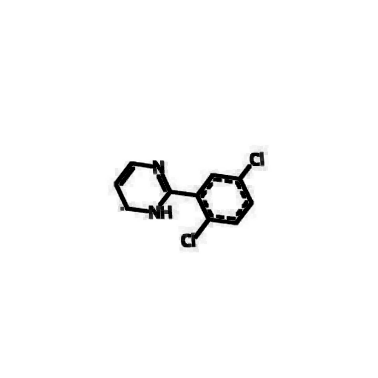 Clc1ccc(Cl)c(C2=NC=C[CH]N2)c1